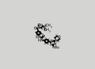 CCCCc1nc(-c2ccc(NC(=O)Nc3ccc(C(=O)N(C)CCN(C)C)cc3)cc2)nc(N2CCOCC2)n1